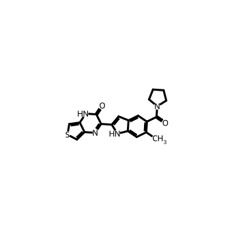 Cc1cc2[nH]c(-c3nc4cscc4[nH]c3=O)cc2cc1C(=O)N1CCCC1